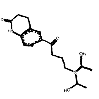 CC(O)N(CCCC(=O)c1ccc2c(c1)CCC(=O)N2)C(C)O